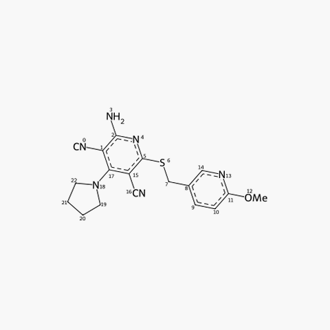 [C-]#[N+]c1c(N)nc(SCc2ccc(OC)nc2)c(C#N)c1N1CCCC1